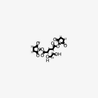 O=C(CCCC(=O)ON1C(=O)CCC1=O)ON1C(=O)CCC1=O.OCCO